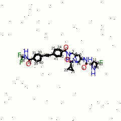 O=C(NC[C@H]1C[C@@H](NC(=O)[C@@H]2C[C@H](F)CN2)CN1C(=O)C1CC1)c1ccc(C#Cc2ccc(C(=O)NC(F)F)cc2)cc1